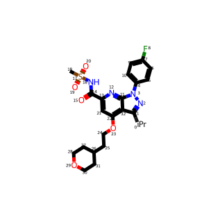 CC(C)c1nn(-c2ccc(F)cc2)c2nc(C(=O)NS(C)(=O)=O)cc(OCCC3CCOCC3)c12